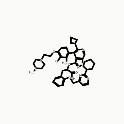 Cc1c(-c2c(C3CCC3)ncc3snc(OC(Cc4ccccc4OCc4ccnc(C5CCCCC5)n4)C(=O)O)c23)ccc(OCCN2CCN(C)CC2)c1Cl